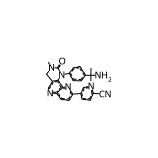 CN1Cc2cnc3ccc(-c4ccc(C#N)nc4)nc3c2N(c2ccc(C(C)(C)N)cc2)C1=O